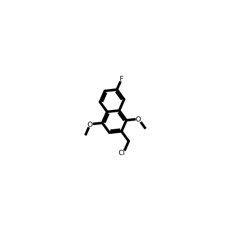 COc1cc(CCl)c(OC)c2cc(F)ccc12